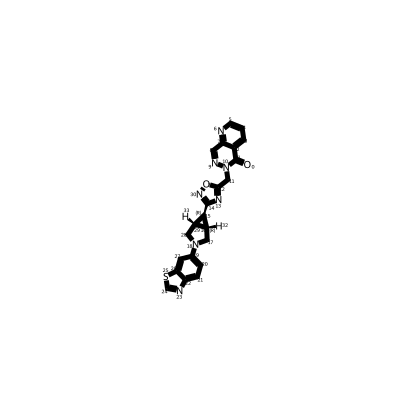 O=c1c2cccnc2cnn1Cc1nc([C@H]2[C@@H]3CN(c4ccc5ncsc5c4)C[C@@H]32)no1